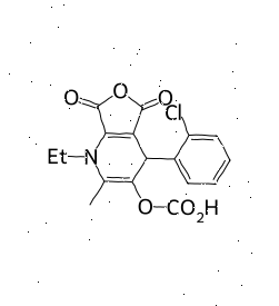 CCN1C(C)=C(OC(=O)O)C(c2ccccc2Cl)C2=C1C(=O)OC2=O